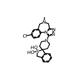 CN1Cc2cc(Cl)ccc2-n2c(nnc2N2CCC3(CC2)c2ccccc2CS3(O)O)C1